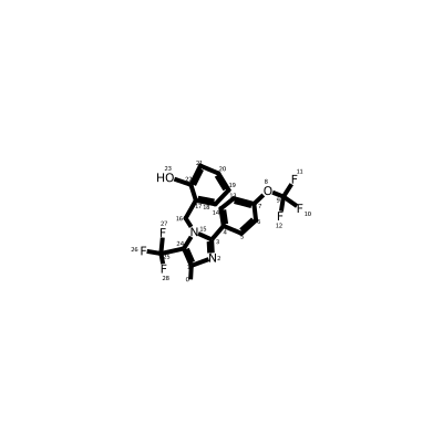 Cc1nc(-c2ccc(OC(F)(F)F)cc2)n(Cc2ccccc2O)c1C(F)(F)F